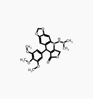 COc1cc(C2C3=C(COC3=O)N(PN(C)C)c3cc4c(cc32)OCO4)cc(OC)c1OC